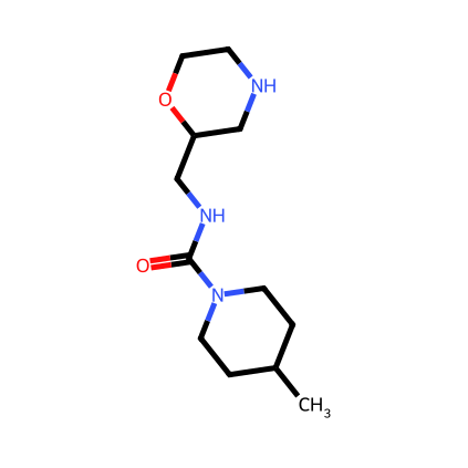 CC1CCN(C(=O)NCC2CNCCO2)CC1